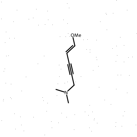 COC=CC#CCN(C)C